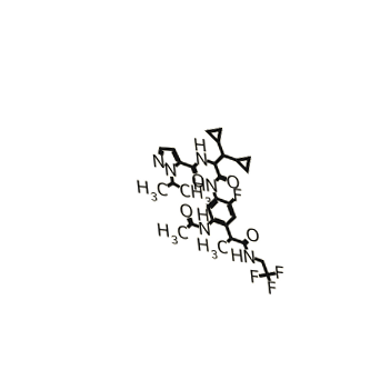 CC(=O)Nc1cc(NC(=O)C(NC(=O)c2ccnn2C(C)C)C(C2CC2)C2CC2)c(F)cc1C(C)C(=O)NCC(F)(F)F